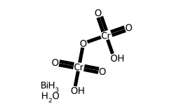 O.[BiH3].[O]=[Cr](=[O])([OH])[O][Cr](=[O])(=[O])[OH]